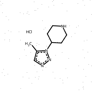 Cc1cnnn1C1CCNCC1.Cl